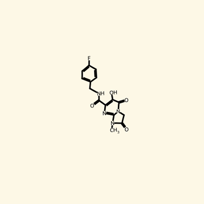 CN1C(=O)Cn2c1nc(C(=O)NCc1ccc(F)cc1)c(O)c2=O